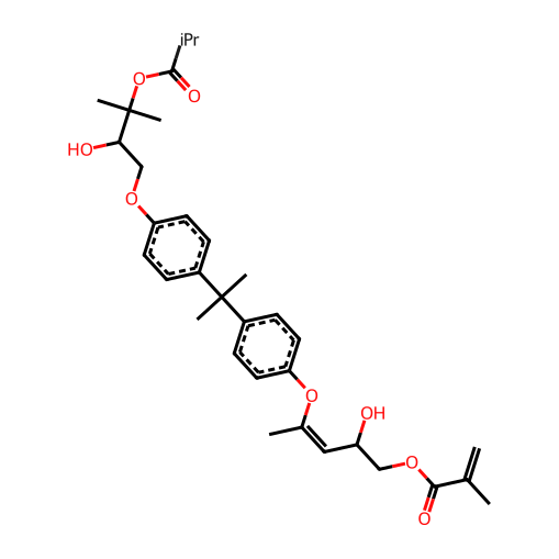 C=C(C)C(=O)OCC(O)/C=C(/C)Oc1ccc(C(C)(C)c2ccc(OCC(O)C(C)(C)OC(=O)C(C)C)cc2)cc1